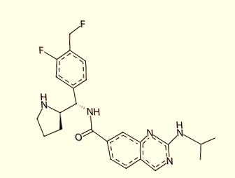 CC(C)Nc1ncc2ccc(C(=O)N[C@@H](c3ccc(CF)c(F)c3)[C@H]3CCCN3)cc2n1